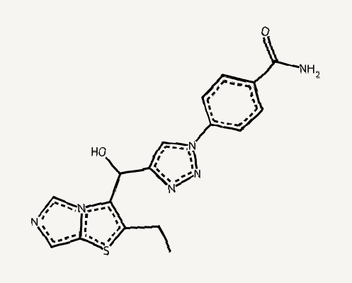 CCc1sc2cncn2c1C(O)c1cn(-c2ccc(C(N)=O)cc2)nn1